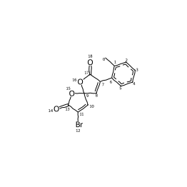 Cc1ccccc1C1=CC2(C=C(Br)C(=O)O2)OC1=O